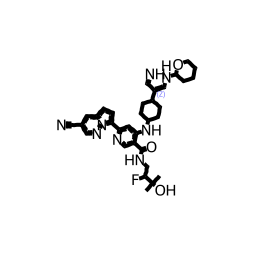 CC(C)(O)C(F)CNC(=O)c1cnc(-c2ccc3cc(C#N)cnn23)cc1NC1CCC(/C(C=N)=C/NC2CCCCO2)CC1